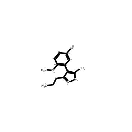 CCCC1=N[N]C(C)=C1c1cc(Br)ccc1OC